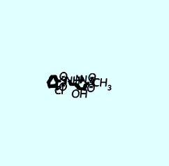 CS(=O)(=O)c1cc(O)c(CNS(=O)(=O)c2ccccc2Cl)nn1